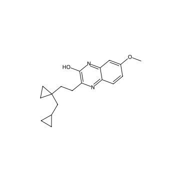 COc1ccc2nc(CCC3(CC4CC4)CC3)c(O)nc2c1